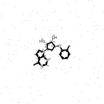 Cc1ccccc1O[C@H]1C[C@@H](n2ccc3c(C)ncnc32)[C@H](O)[C@@H]1O